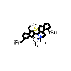 Cc1c2c(c(CC(C)C)c3ccc(CC(C)C)cc13)Sc1cc3cccc(C(C)(C)C)c3c3cc[n+](C)c-2c13